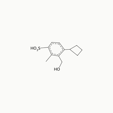 Cc1c(S(=O)(=O)O)ccc(C2CCC2)c1CO